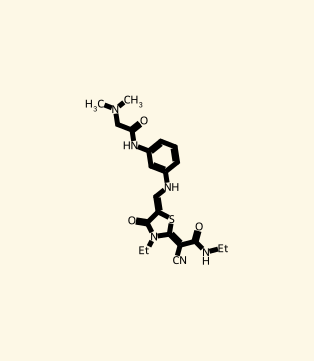 CCNC(=O)C(C#N)=c1sc(=CNc2cccc(NC(=O)CN(C)C)c2)c(=O)n1CC